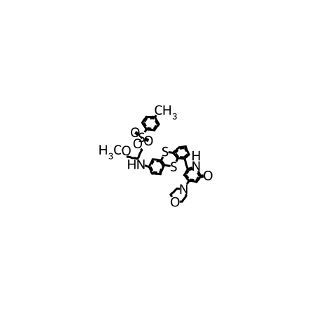 COCC(COS(=O)(=O)c1ccc(C)cc1)Nc1ccc2c(c1)Sc1cccc(-c3cc(N4CCOCC4)cc(=O)[nH]3)c1S2